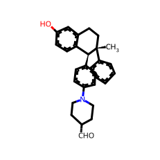 C[C@]1(c2ccccc2)CCc2cc(O)ccc2[C@@H]1c1ccc(N2CCC(C=O)CC2)cc1